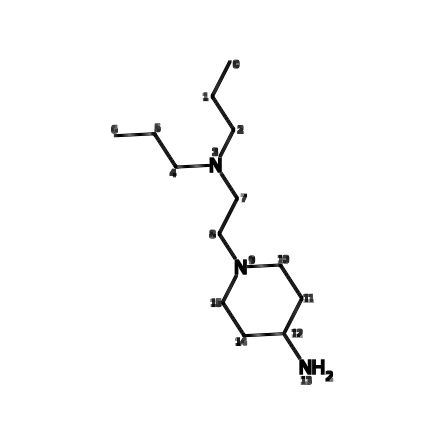 CCCN(CCC)CCN1CCC(N)CC1